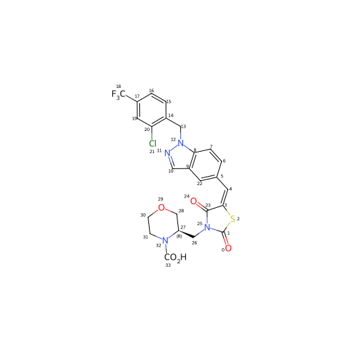 O=C1SC(=Cc2ccc3c(cnn3Cc3ccc(C(F)(F)F)cc3Cl)c2)C(=O)N1C[C@@H]1COCCN1C(=O)O